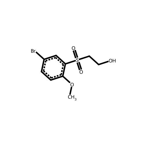 COc1ccc(Br)cc1S(=O)(=O)CCO